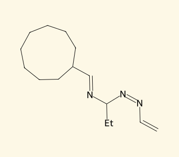 C=C/N=N\C(CC)/N=C/C1CCCCCCCC1